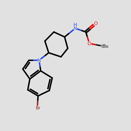 CC(C)(C)OC(=O)NC1CCC(n2ccc3cc(Br)ccc32)CC1